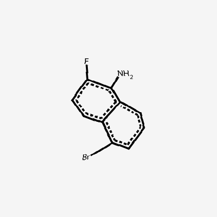 Nc1c(F)ccc2c(Br)cccc12